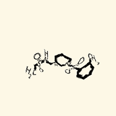 C=CS(=O)(=O)NC[C@H]1CCCN(S(=O)(=O)c2ccccc2C)C1